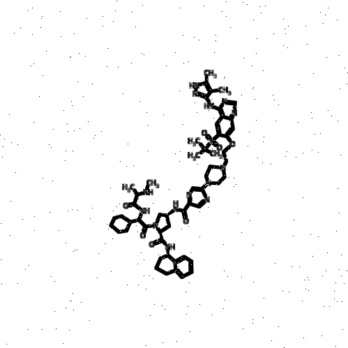 CNC(C)C(=O)NC(C(=O)N1C[C@@H](NC(=O)c2cnc(N3CCN(CCOc4cc5ncnc(Nc6n[nH]c(C)c6C)c5cc4S(=O)(=O)C(C)(C)C)CC3)cn2)C[C@H]1C(=O)N[C@@H]1CCCc2ccccc21)C1CCCCC1